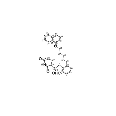 CN(Cc1c(C=O)cccc1CCCCCOc1cccc2cnccc12)C1CCC(=O)NC1=O